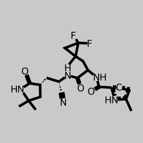 Cc1ccc(C(=O)NC(CC2(C)CC2(F)F)C(=O)N[C@H](C#N)C[C@@H]2CC(C)(C)NC2=O)[nH]1